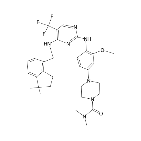 COc1cc(N2CCN(C(=O)N(C)C)CC2)ccc1Nc1ncc(C(F)(F)F)c(NCc2cccc3c2CCC3(C)C)n1